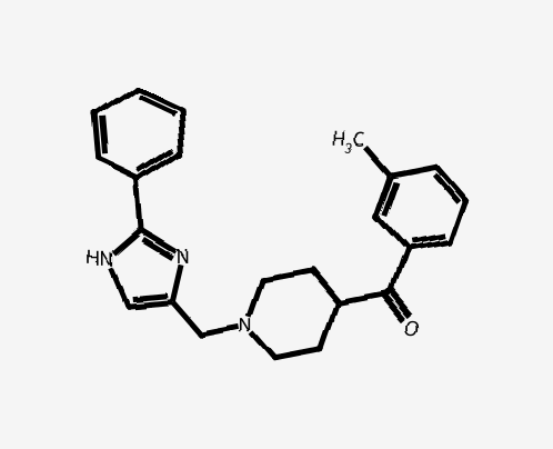 Cc1cccc(C(=O)C2CCN(Cc3c[nH]c(-c4ccccc4)n3)CC2)c1